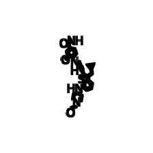 CNC(=O)c1ccc(NCC#Cc2sc3c(NC4CCN(CCOC)CC4)cccc3c2CC2CC2)c(OC)c1